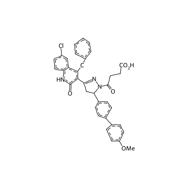 COc1ccc(-c2ccc(C3CC(c4c(Cc5ccccc5)c5cc(Cl)ccc5[nH]c4=O)=NN3C(=O)CCC(=O)O)cc2)cc1